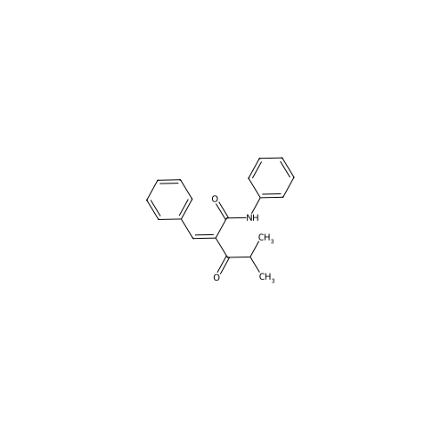 CC(C)C(=O)/C(=C/c1ccccc1)C(=O)Nc1ccccc1